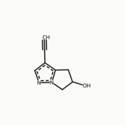 C#Cc1cnn2c1CC(O)C2